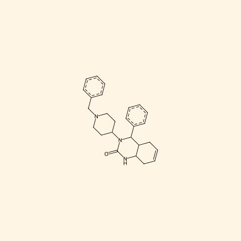 O=C1NC2CC=CCC2C(c2ccccc2)N1C1CCN(Cc2ccccc2)CC1